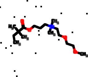 CCC(C)(C)C(=O)OCCC[N+](C)(C)CCOCCOC